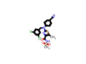 Cc1sc(N(Cc2cc(F)cc(Cl)c2)c2ccc(C#N)cc2)nc1C(=O)NS(C)(=O)=O